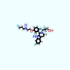 C[C@@H]1Cc2c([nH]c3cc(F)ccc23)[C@@H](c2c(F)ccc(OCCNCCCF)c2F)N1CC(F)(F)CO